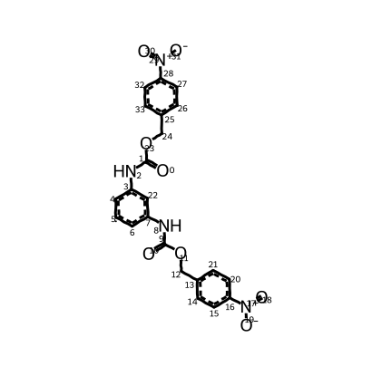 O=C(Nc1c[c]cc(NC(=O)OCc2ccc([N+](=O)[O-])cc2)c1)OCc1ccc([N+](=O)[O-])cc1